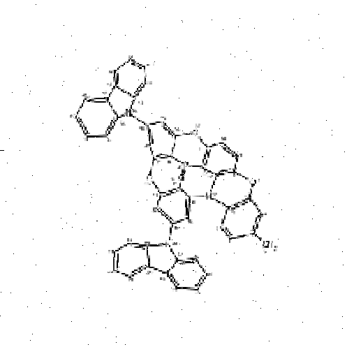 Cc1ccc2c(c1)Oc1ccc3c4c1N2c1cc(-n2c5ccccc5c5ccccc52)cc2c1P4(=O)c1c(cc(-n4c5ccccc5c5ccccc54)cc1O3)O2